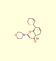 O=C1C=C(N2CCOCC2)OC2[C@H]1CC=C[C@@H]2[C@H]1C=CCCC1